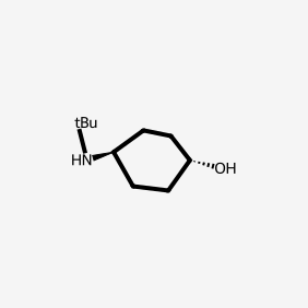 CC(C)(C)N[C@H]1CC[C@H](O)CC1